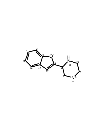 c1ccc2oc(C3CNCCN3)cc2c1